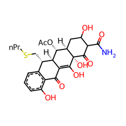 CCCSC[C@H]1c2cccc(O)c2C(=O)C2=C(O)[C@]3(O)C(=O)C(C(N)=O)C(O)C[C@@H]3[C@@H](OC(C)=O)[C@@H]21